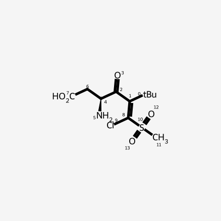 CC(C)(C)C(C(=O)[C@@H](N)CC(=O)O)=C(Cl)S(C)(=O)=O